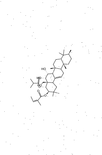 C/C=C(/C)C(=O)O[C@H]1[C@H](OC(=O)C(C)C)[C@@]2(CO)C(CC1(C)C)C1=CCC3[C@@]4(C)CC[C@H](C)C(C)(C)C4CC[C@@]3(C)[C@]1(C)[C@@H](O)[C@H]2O